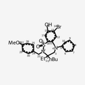 CCCCC1(CC)CN(c2ccccc2)c2cc(Br)c(O)cc2S(=O)(=O)N1Cc1ccc(OC)cc1